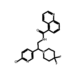 O=C(NCC(c1ccc(Cl)nc1)N1CCC(F)(F)CC1)c1cccc2ncccc12